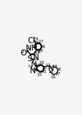 NC(=O)c1sc(-n2cnc3ccc(CN4CCCCC4)cc32)nc1-c1cccc(Cl)c1